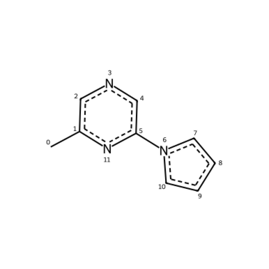 Cc1cncc(-n2cccc2)n1